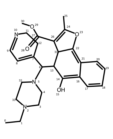 CCN1CCN(C(C2=CC=NCC2)C2C(O)=c3ccccc3=C3OC(C)=C(C(=O)OC)C32)CC1